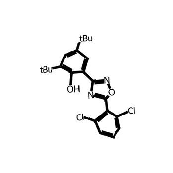 CC(C)(C)c1cc(-c2noc(-c3c(Cl)cccc3Cl)n2)c(O)c(C(C)(C)C)c1